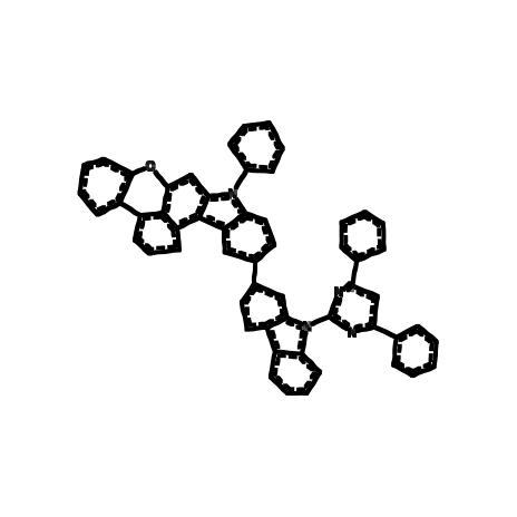 c1ccc(-c2cc(-c3ccccc3)nc(-n3c4ccccc4c4ccc(-c5ccc6c(c5)c5c7cccc8c7c(cc5n6-c5ccccc5)Oc5ccccc5-8)cc43)n2)cc1